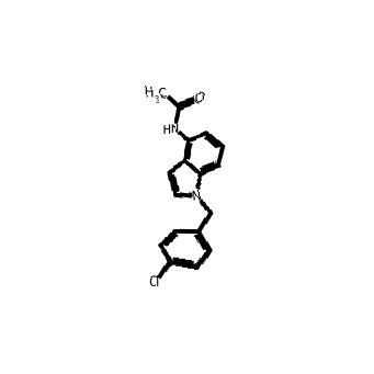 CC(=O)Nc1cccc2c1ccn2Cc1ccc(Cl)cc1